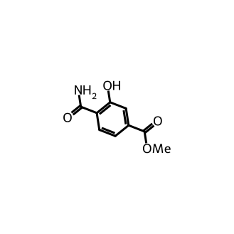 COC(=O)c1ccc(C(N)=O)c(O)c1